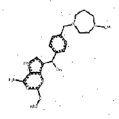 CCCCOc1nc(N)c2[nH]cc(C(O)c3ccc(CN4CCCN(C)CC4)cc3)c2n1